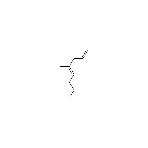 C=CCC(C)=CCCC